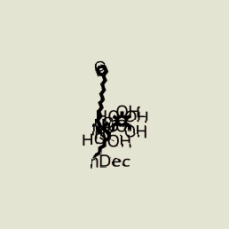 CCCCCCCCCCCCCC[C@@H](O)[C@@H](O)[C@H](COC1OC(CO)C(O)C(O)C1O)n1nnn(CCCCCCCCCCC2CCOCC2)c1=O